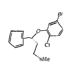 CNCC[C@@H](Oc1cc(Br)ccc1Cl)c1ccccc1